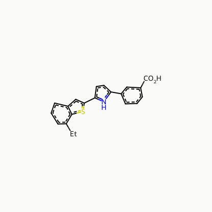 CCc1cccc2cc(-c3ccc(-c4cccc(C(=O)O)c4)[nH]3)sc12